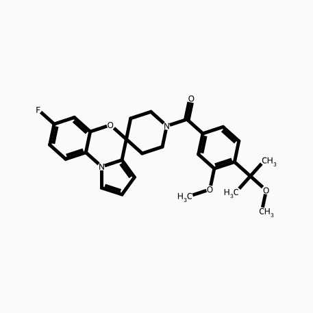 COc1cc(C(=O)N2CCC3(CC2)Oc2cc(F)ccc2-n2cccc23)ccc1C(C)(C)OC